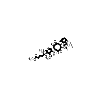 COC(=O)CCCC(=O)Oc1c(C)ncc(N[C@H]2CC(=O)C(=O)[C@H](Cc3ccccc3)[C@H](OC(=O)C(C)C)[C@H](C)C(=O)C2=O)c1OC